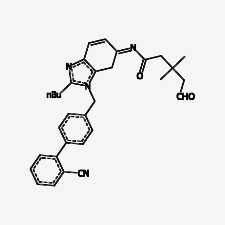 CCCCc1nc2c(n1Cc1ccc(-c3ccccc3C#N)cc1)CC(=NC(=O)CC(C)(C)CC=O)C=C2